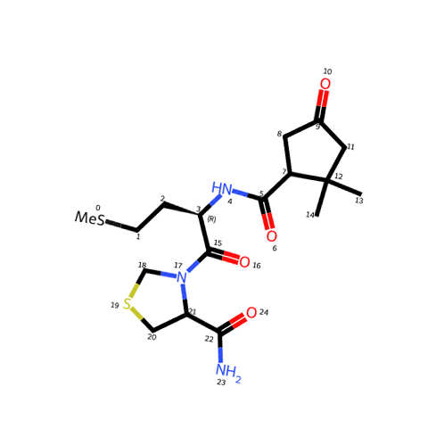 CSCC[C@@H](NC(=O)C1CC(=O)CC1(C)C)C(=O)N1CSCC1C(N)=O